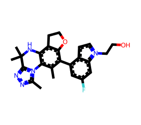 Cc1c(-c2cc(F)cc3c2ccn3CCO)c2c(c3c1-n1c(C)nnc1C(C)(C)N3)CCO2